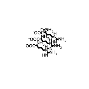 N=C(N)NCCC[C@H](N)C(=O)[O-].N=C(N)NCCC[C@H](N)C(=O)[O-].N=C(N)NCCC[C@H](N)C(=O)[O-].[Fe+3]